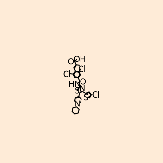 C/C(=C\c1c(Cl)cc(C(=O)Nc2nc(-c3cc(Cl)cs3)c(C3=CCN(C4CCCCC4)CC3)s2)cc1Cl)C(=O)O